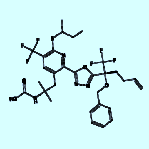 C=CCC[C@@](OCc1ccccc1)(c1nnc(-c2nc(SC(C)CC)c(C(F)(F)F)cc2CC(C)(C)NC(=O)O)o1)C(F)(F)F